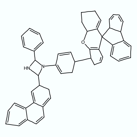 C1=CC2c3ccccc3C3(C4=CCCCC4OC4=C3C=CCC4C3C=CC(N4C(c5ccccc5)NC4C4C=c5c(ccc6ccccc56)=CC4)=CC3)C2C=C1